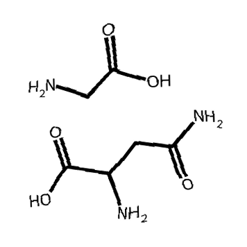 NC(=O)CC(N)C(=O)O.NCC(=O)O